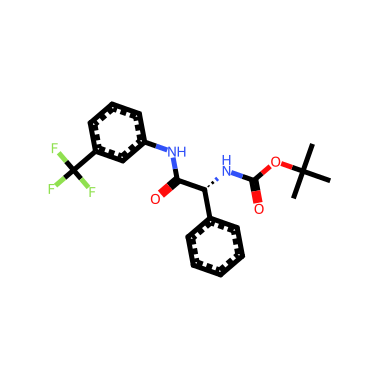 CC(C)(C)OC(=O)N[C@@H](C(=O)Nc1cccc(C(F)(F)F)c1)c1ccccc1